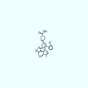 COc1cccc([C@@H]2C=C(C)C3=COC[C@@H](C(C)(C)C)N4C(=O)[C@@H](CC(=O)N5CCC(C(=O)O)CC5)SC2=C34)c1OC